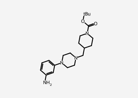 CC(C)(C)OC(=O)N1CCC(CN2CCN(c3cccc(N)c3)CC2)CC1